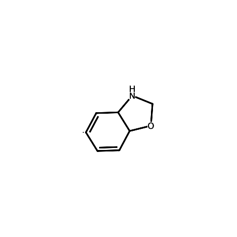 [C]1=CC2NCOC2C=C1